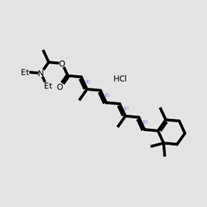 CCN(CC)C(C)OC(=O)/C=C(C)/C=C/C=C(C)/C=C/C1=C(C)CCCC1(C)C.Cl